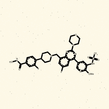 COc1ncc(-c2nc(N3CCOCC3)nc3c(CN4CCC(c5ccc(C(=O)NO)cc5F)CC4)cc(F)cc23)cc1NS(=O)(=O)C(F)(F)F